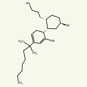 CCCCCCC(C)(C)C1=CCC([C@H]2C[C@H](O)CC[C@H]2CCCO)C(O)=C1